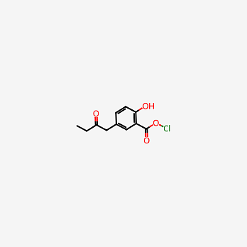 CCC(=O)Cc1ccc(O)c(C(=O)OCl)c1